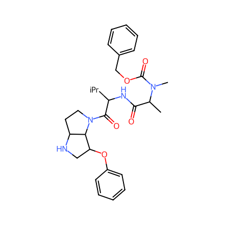 CC(C)C(NC(=O)C(C)N(C)C(=O)OCc1ccccc1)C(=O)N1CCC2NCC(Oc3ccccc3)C21